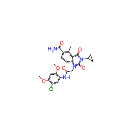 COc1cc(OC)c(NC(=O)Cn2c(=O)n(C3CC3)c(=O)c3c(C)c(C(N)=O)ccc32)cc1Cl